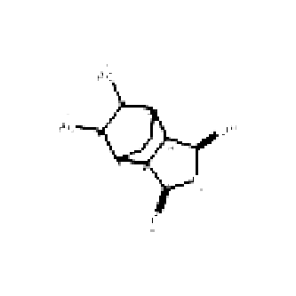 CC(=O)C1C2CCC(C1C(C)=O)C1C(=O)OC(=O)C21